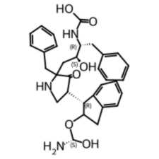 N[C@@H](O)OC1Cc2ccccc2[C@H]1C1CNC(Cc2ccccc2)(C[C@H](O)[C@@H](Cc2ccccc2)NC(=O)O)C1=O